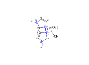 CCCCCCCC[N+]1([N+]2(CC#N)C=CN(C)C2)C=CN(C)C1C